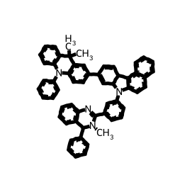 CN1C(c2cccc(N3c4ccc5ccccc5c4C4C=CC(c5ccc6c(c5)C(C)(C)c5ccccc5N6c5ccccc5)=CC43)c2)=Nc2ccccc2C1c1ccccc1